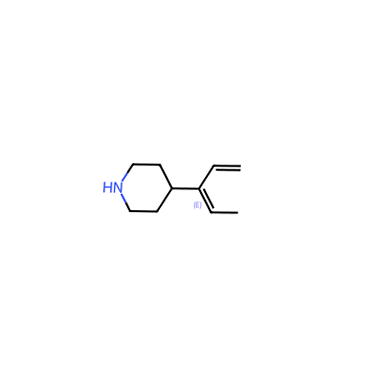 C=C/C(=C\C)C1CCNCC1